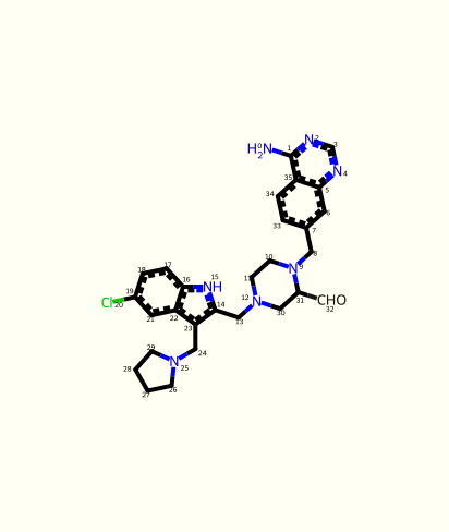 Nc1ncnc2cc(CN3CCN(Cc4[nH]c5ccc(Cl)cc5c4CN4CCCC4)CC3C=O)ccc12